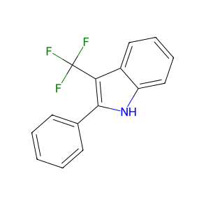 FC(F)(F)c1c(-c2ccccc2)[nH]c2ccccc12